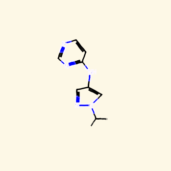 CCC(CC)n1cc(Nc2ccncn2)cn1